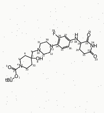 CC(C)(C)OC(=O)N1CCC(O)(CN2CCN(c3ccc(NC4CCC(=O)NC4=O)cc3F)CC2)CC1